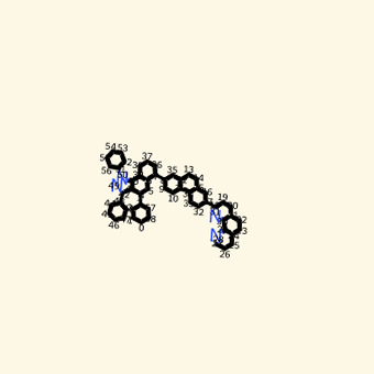 c1ccc(-c2cc3c(-c4ccc5c(ccc6cc(-c7ccc8ccc9cccnc9c8n7)ccc65)c4)cccc3c3c2c(-c2ccccc2)nn3-c2ccccc2)cc1